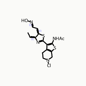 C/C=c1/nc(-c2c(NC(C)=O)sc3c2CCN(Cl)C3)s/c1=C/C=N/O